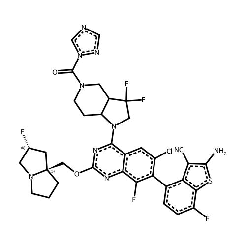 N#Cc1c(N)sc2c(F)ccc(-c3c(Cl)cc4c(N5CC(F)(F)C6CN(C(=O)n7cncn7)CCC65)nc(OC[C@@]56CCCN5C[C@H](F)C6)nc4c3F)c12